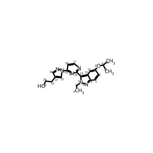 CCn1nc2ccc(OC(C)C)cc2c1-c1nccc(-n2cc(CCO)cn2)n1